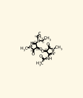 CC(=O)NC1=NN(C)C(=O)C1=O.CCN(CC)C1=NN(C)C(=O)C1=O